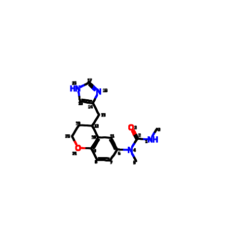 CNC(=O)N(C)c1ccc2c(c1)C(Cc1c[nH]cn1)CCO2